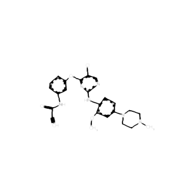 C#CC(=O)Nc1cccc(Oc2nc(Nc3ccc(N4CCN(C)CC4)cc3OC)ncc2Cl)c1